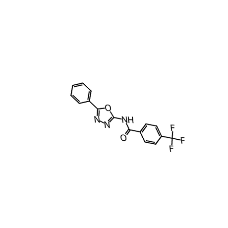 O=C(Nc1nnc(-c2ccccc2)o1)c1ccc(C(F)(F)F)cc1